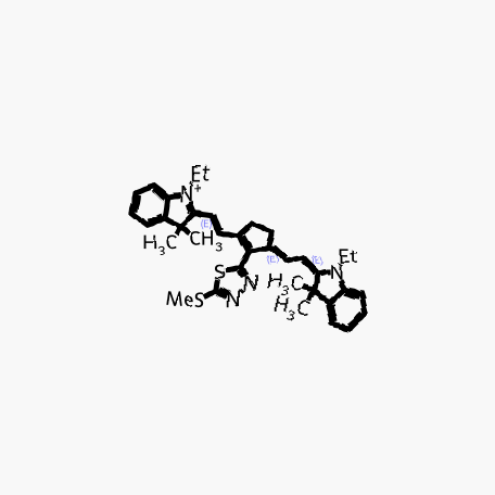 CCN1/C(=C/C=C2\CCC(/C=C/C3=[N+](CC)c4ccccc4C3(C)C)=C2c2nnc(SC)s2)C(C)(C)c2ccccc21